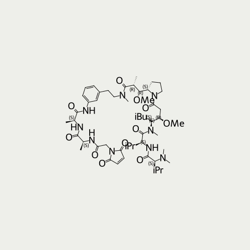 CC[C@H](C)[C@@H]([C@@H](CC(=O)N1CCC[C@H]1[C@H](OC)[C@@H](C)C(=O)N(C)CCc1cccc(NC(=O)[C@H](C)NC(=O)[C@H](C)NC(=O)CN2C(=O)C=CC2=O)c1)OC)N(C)C(=O)[C@@H](NC(=O)[C@H](C(C)C)N(C)C)C(C)C